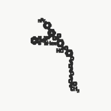 C=CC(=O)OCCOCCOCCOc1ccc(OC(O)C2CCC(C(=O)Oc3ccc(C4CCC(CCC)CC4)cc3/C=N/N(CCCCCC)c3nc4ccccc4s3)CC2)cc1